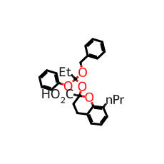 CCCc1cccc2c1OC(OC(CC)(OCc1ccccc1)Oc1ccccc1)(C(=O)O)CC2